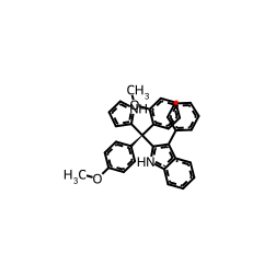 COc1ccc([C@@](c2ccc[nH]2)(c2ccccc2OC)c2[nH]c3ccccc3c2-c2ccccc2)cc1